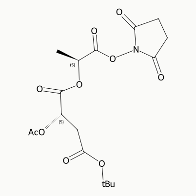 CC(=O)O[C@@H](CC(=O)OC(C)(C)C)C(=O)O[C@@H](C)C(=O)ON1C(=O)CCC1=O